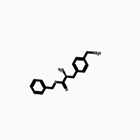 N[C@@H](Cc1ccc(CC(=O)O)cc1)C(=O)OCc1ccccc1